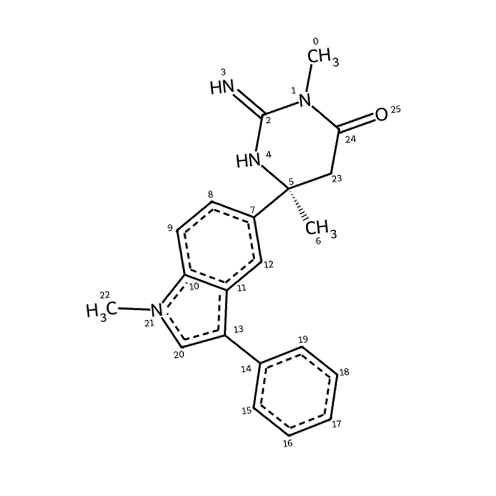 CN1C(=N)N[C@](C)(c2ccc3c(c2)c(-c2ccccc2)cn3C)CC1=O